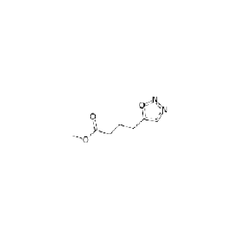 COC(=O)CCCc1cnno1